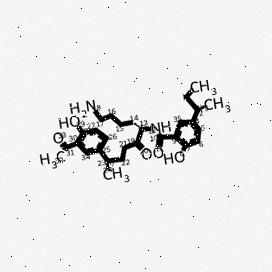 CC[C@@H](C)c1ccc(O)c(C(=O)N[C@@H](CCCCN)C(=O)CC[C@@H](C)c2ccc(O)c(C(C)=O)c2)c1